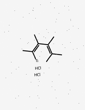 CC(C)=C(C)C(C)=[C](C)[Ti].Cl.Cl